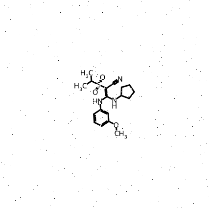 COc1cccc(NC(NC2CCCC2)=C(C#N)S(=O)(=O)C(C)C)c1